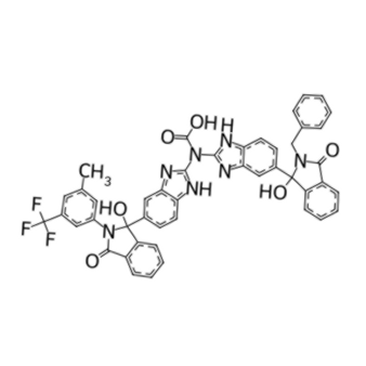 Cc1cc(N2C(=O)c3ccccc3C2(O)c2ccc3[nH]c(N(C(=O)O)c4nc5cc(C6(O)c7ccccc7C(=O)N6Cc6ccccc6)ccc5[nH]4)nc3c2)cc(C(F)(F)F)c1